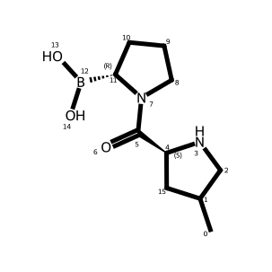 CC1CN[C@H](C(=O)N2CCC[C@H]2B(O)O)C1